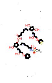 CS(=O)(=O)NC(=O)CCC/C=C\C[C@H]1C(=O)C[C@@H](O)[C@@H]1/C=C/[C@@H](O)COc1ccccc1.O=C(O)CCC/C=C\C[C@@H]1[C@@H](/C=C/C(O)COc2ccsc2)[C@H](O)C[C@@H]1O